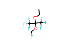 CCOC(OCF)(C(F)(F)F)C(F)(F)F